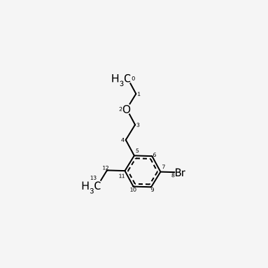 CCOCCc1cc(Br)ccc1CC